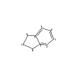 [c]1ccc2c(c1)C[CH]C2